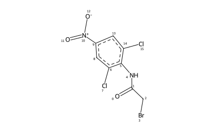 O=C(CBr)Nc1c(Cl)cc([N+](=O)[O-])cc1Cl